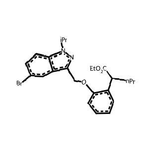 CCCC(C(=O)OCC)c1ccccc1OCc1nn(C(C)C)c2ccc(Br)cc12